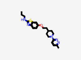 CCCNc1nc2ccc(OCCC3CCN(c4ccc(C)nn4)CC3)cc2s1